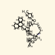 Cc1cnc(C(=O)N[C@H]2CCCCC/C=C\[C@H](C)[C@H](C(=O)NS(=O)(=O)C3CC3)NC(=O)[C@@H]3C[C@@H](Oc4nc5ccccc5c5ccccc45)CN3C2=O)cn1